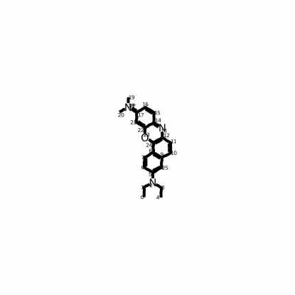 CCN(CC)c1ccc2c(ccc3nc4ccc(=[N+](C)C)cc-4oc32)c1